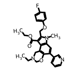 CCOC(=O)c1c(COc2ccc(F)cc2)n(C)c2cc(-c3cccnc3)c3c(c12)CN(CC)CO3